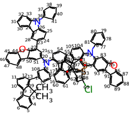 CC1(C)c2ccccc2-c2cccc(-c3cccc(N(c4cc(-c5ccc6c(c5)c5ccccc5n6-c5ccccc5)c5oc6ccccc6c5c4)c4cccc5c4-c4ccccc4C54c5ccc(Cl)cc5Sc5c(N(c6ccccc6)c6cc7oc8ccccc8c7cc6-c6cc7ccccc7s6)cccc54)c3)c21